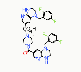 CN1CCN(C(=O)c2cnc3c(c2)N(Cc2cc(F)ccc2F)CCN3)CC1.O=C(O)c1cnc2c(c1)N(Cc1cc(F)ccc1F)CCN2